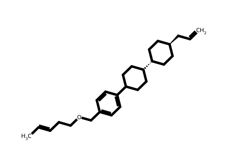 C=CC[C@H]1CC[C@H](C2CCC(c3ccc(COCCC=CC)cc3)CC2)CC1